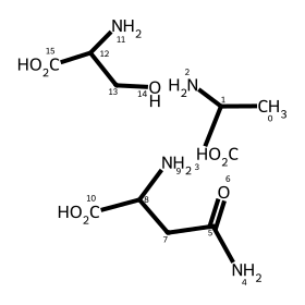 CC(N)C(=O)O.NC(=O)CC(N)C(=O)O.NC(CO)C(=O)O